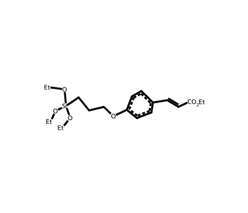 CCOC(=O)C=Cc1ccc(OCCC[Si](OCC)(OCC)OCC)cc1